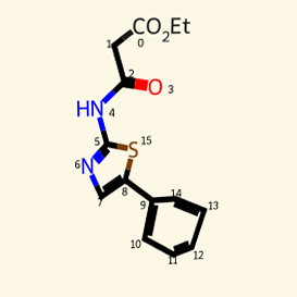 CCOC(=O)CC(=O)Nc1ncc(-c2ccccc2)s1